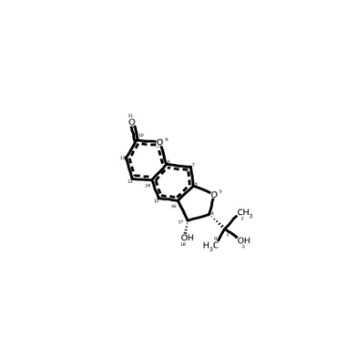 CC(C)(O)[C@H]1Oc2cc3oc(=O)ccc3cc2[C@H]1O